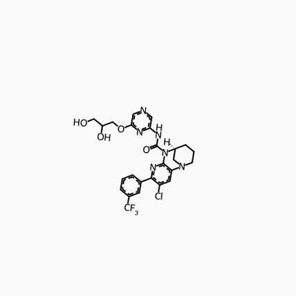 O=C(Nc1cncc(OCC(O)CO)n1)N1c2nc(-c3cccc(C(F)(F)F)c3)c(Cl)cc2N2CCC[C@H]1C2